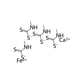 CNC(=S)[S-].CNC(=S)[S-].CNC(=S)[S-].CNC(=S)[S-].[Ca+2].[Fe+2]